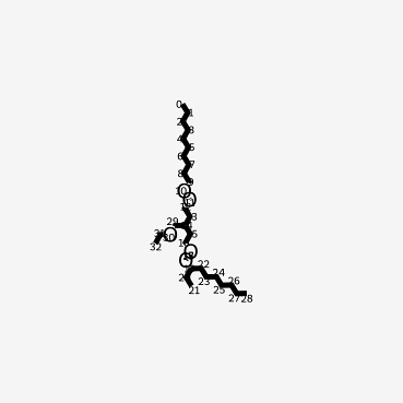 CCCCCCCCCCOOCCC(CCOOC(CC)CCCCCCC)COCC